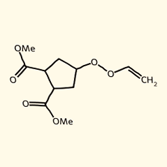 C=COOC1CC(C(=O)OC)C(C(=O)OC)C1